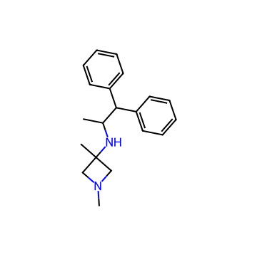 CC(NC1(C)CN(C)C1)C(c1ccccc1)c1ccccc1